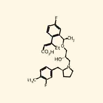 CC/C(=C\C(=O)O)c1ccc(F)cc1[C@@H](C)OC[C@@H](O)CN1CCC[C@H]1Cc1ccc(C)c(F)c1